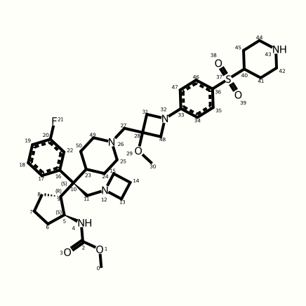 COC(=O)N[C@H]1CCC[C@@H]1[C@](CN1CCC1)(c1cccc(F)c1)C1CCN(CC2(OC)CN(c3ccc(S(=O)(=O)C4CCNCC4)cc3)C2)CC1